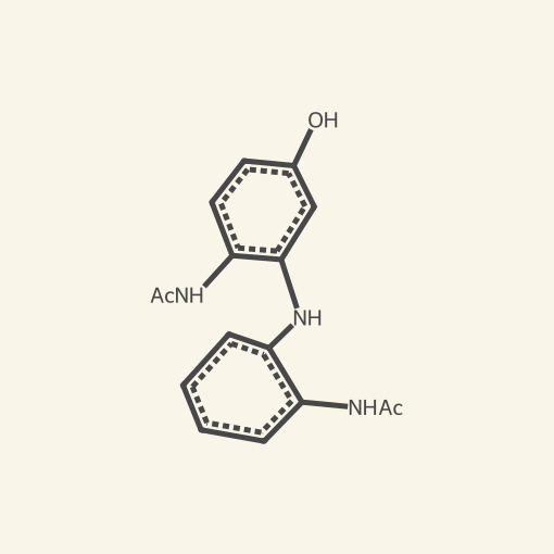 CC(=O)Nc1ccccc1Nc1cc(O)ccc1NC(C)=O